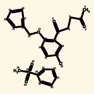 CC(=O)CCC(=O)c1cc(Cl)ccc1OCc1ccccc1.CS(=O)(=O)c1ccccc1